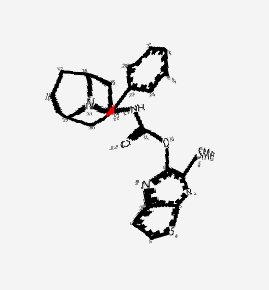 CSc1nc2sccc2nc1OC(=O)NC1CC2CCC(C1)N2Cc1ccccc1